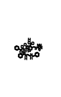 Cn1nnnc1SCC1=C(C(=O)O)N2C(=O)[C@@H](NC(=O)[C@H](O)c3ccccc3)[C@H]2SC1.c1ccc(CNCCNCc2ccccc2)cc1